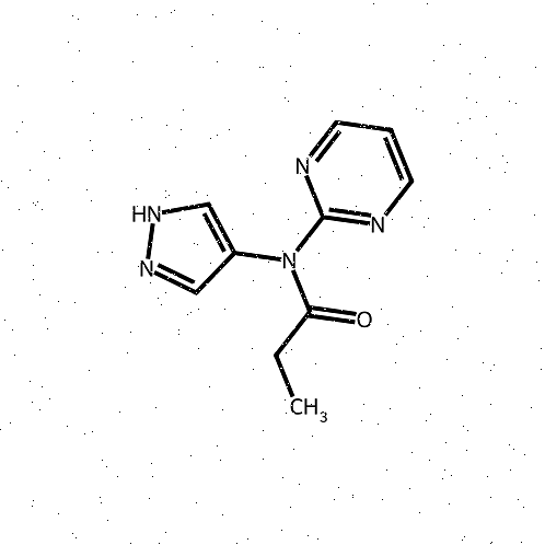 CCC(=O)N(c1cn[nH]c1)c1ncccn1